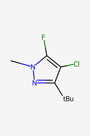 Cn1nc(C(C)(C)C)c(Cl)c1F